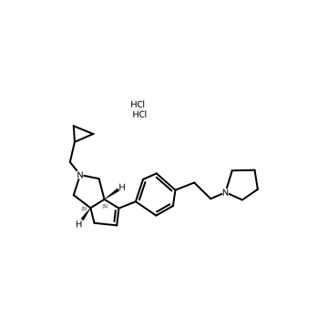 C1=C(c2ccc(CCN3CCCC3)cc2)[C@H]2CN(CC3CC3)C[C@H]2C1.Cl.Cl